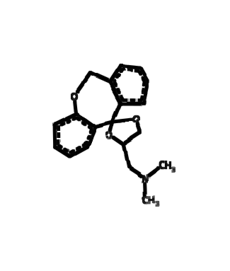 CN(C)CC1COC2(O1)c1ccccc1COc1ccccc12